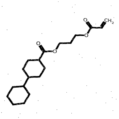 C=CC(=O)OCCCOC(=O)C1CCC(C2CCCCC2)CC1